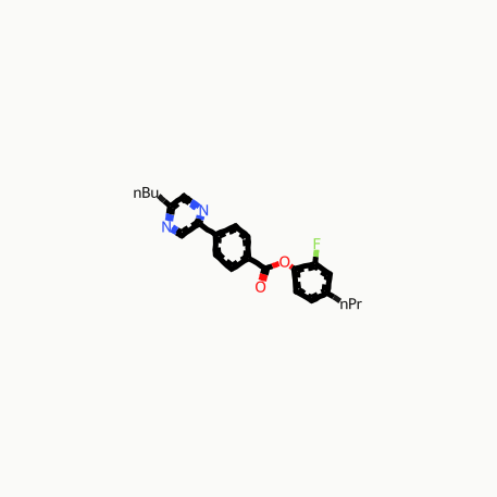 CCCCc1cnc(-c2ccc(C(=O)Oc3ccc(CCC)cc3F)cc2)cn1